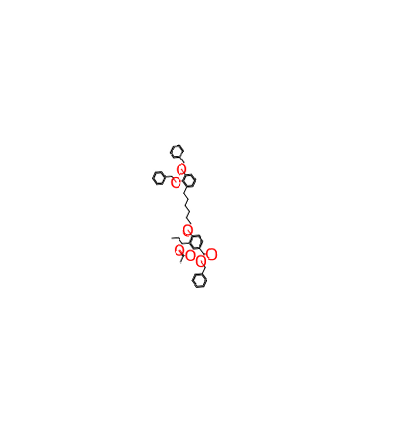 CCCc1c(OCCCCCCc2cccc(OCc3ccccc3)c2OCc2ccccc2)ccc(C(=O)OCc2ccccc2)c1OC(C)=O